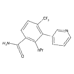 CCCc1c(C(N)=O)ccc(C(F)(F)F)c1-c1cccnc1